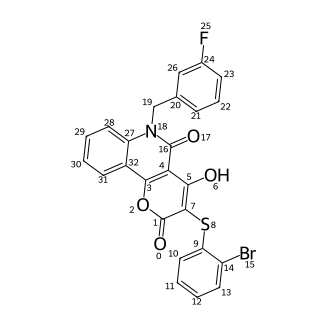 O=c1oc2c(c(O)c1Sc1ccccc1Br)c(=O)n(Cc1cccc(F)c1)c1ccccc21